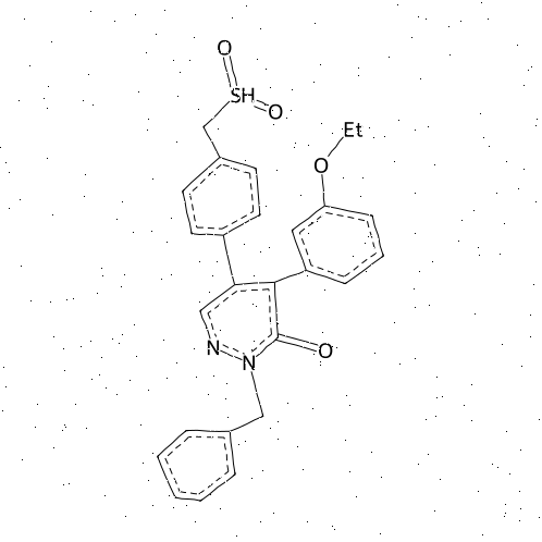 CCOc1cccc(-c2c(-c3ccc(C[SH](=O)=O)cc3)cnn(Cc3ccccc3)c2=O)c1